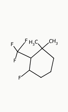 CC1(C)CCCC(F)C1C(F)(F)F